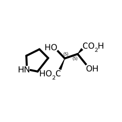 C1CCNC1.O=C(O)[C@@H](O)[C@H](O)C(=O)O